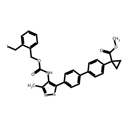 COC(=O)C1(c2ccc(-c3ccc(-c4snc(C)c4NC(=O)OCc4ccccc4CI)cc3)cc2)CC1